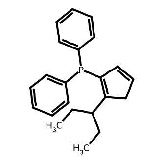 CCC(CC)C1=C(P(c2ccccc2)c2ccccc2)C=CC1